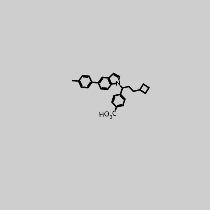 Cc1ccc(-c2ccc3c(ccn3C(CCC3CCC3)c3ccc(C(=O)O)cc3)c2)cc1